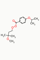 COC(C)(C)C[CH]OOC(=O)c1ccc(OC(C)C)cc1